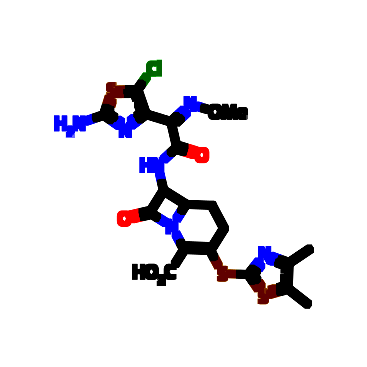 CO/N=C(\C(=O)NC1C(=O)N2C(C(=O)O)=C(Sc3nc(C)c(C)s3)CCC12)c1nc(N)sc1Cl